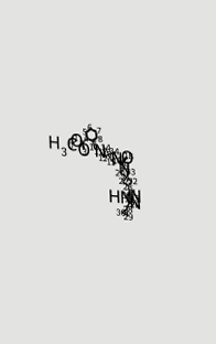 COC(=O)c1ccccc1CN1CC2(C1)CN(C(=O)N1CC3(CC(c4nnc(C5CC5)[nH]4)C3)C1)C2